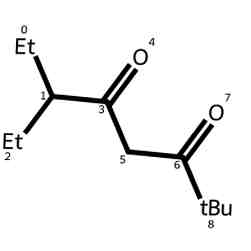 CCC(CC)C(=O)CC(=O)C(C)(C)C